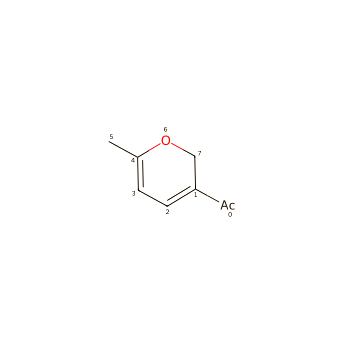 CC(=O)C1=CC=C(C)OC1